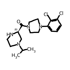 CC(C)N1CCN[C@@H](C(=O)N2CCN(c3cccc(Cl)c3Cl)CC2)C1